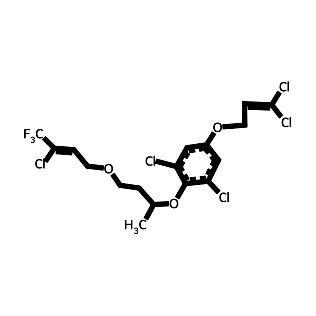 CC(CCOCC=C(Cl)C(F)(F)F)Oc1c(Cl)cc(OCC=C(Cl)Cl)cc1Cl